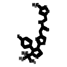 Cc1cc(CNC(=O)Cc2csc(-c3cnn(C(C)(C)C)c3-c3ccc(F)cc3)n2)on1